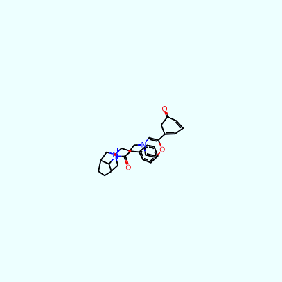 O=C1C=CC=C(C2=CN(CCCN3CC4CCC(C3)C4NC(=O)Cc3ccccc3)C=CO2)C1